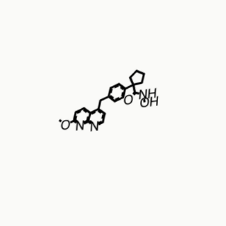 COc1ccc2c(Cc3ccc(C4(C(=O)NO)CCCC4)cc3)ccnc2n1